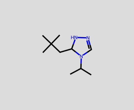 CC(C)N1C=NNC1CC(C)(C)C